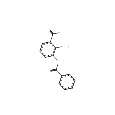 Cc1c(NC(=O)c2ccccc2)cccc1C(=O)Cl